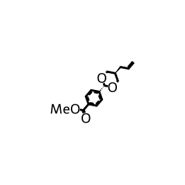 C=CC[C@H]1CO[C@H](c2ccc(C(=O)OC)cc2)OC1